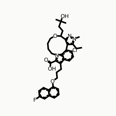 CCc1c2c(nn1C)C(CCC(C)(C)O)OCCCCn1c(C(=O)O)c(CCCOc3cccc4cc(F)ccc34)c3ccc(Cl)c-2c31